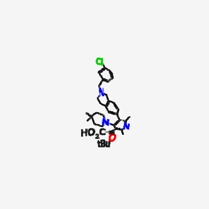 Cc1nc(C)c([C@H](OC(C)(C)C)C(=O)O)c(N2CCC(C)(C)CC2)c1-c1ccc2c(c1)CCN(Cc1cccc(Cl)c1)C2